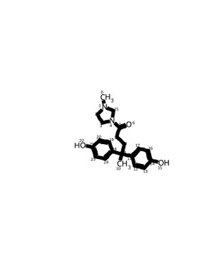 CN1CCN(C(=O)CCC(C)(c2ccc(O)cc2)c2ccc(O)cc2)C1